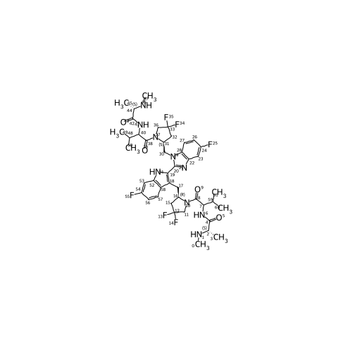 CN[C@@H](C)C(=O)NC(C(=O)N1CC(F)(F)C[C@H]1Cc1c(-c2nc3cc(F)ccc3n2C[C@@H]2CC(F)(F)CN2C(=O)C(NC(=O)[C@H](C)NC)C(C)C)[nH]c2cc(F)ccc12)C(C)C